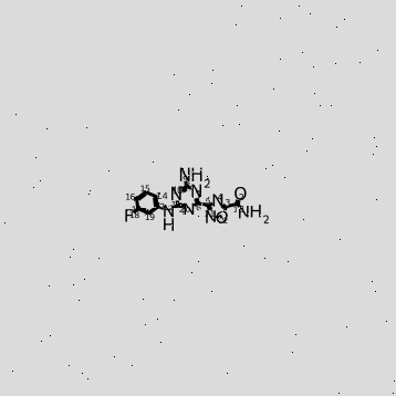 NC(=O)c1nc(-c2nc(N)nc(Nc3cccc(F)c3)n2)no1